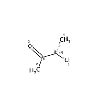 CC(=O)[C@H](C)Cl